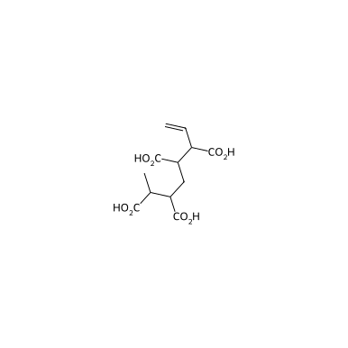 C=CC(C(=O)O)C(CC(C(=O)O)C(C)C(=O)O)C(=O)O